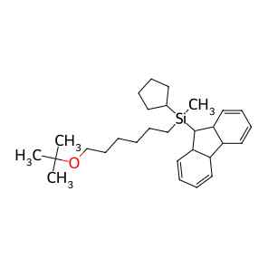 CC(C)(C)OCCCCCC[Si](C)(C1CCCC1)C1C2C=CC=CC2C2C=CC=CC21